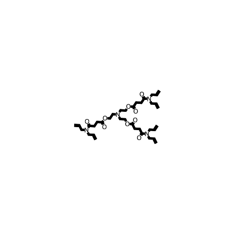 C=CCN(CC=C)C(=O)CCC(=O)OCCN(CCOC(=O)CCC(=O)N(CC=C)CC=C)CCOC(=O)CCC(=O)N(CC=C)CC=C